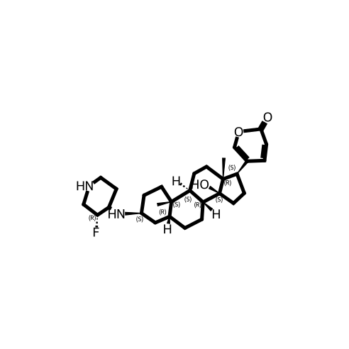 C[C@]12CC[C@H](NC3CCNC[C@H]3F)C[C@H]1CC[C@@H]1[C@@H]2CC[C@]2(C)[C@@H](c3ccc(=O)oc3)CC[C@]12O